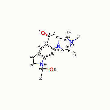 CC(=O)c1cc2c(cc1N1C[C@@H](C)N(C)[C@@H](C)C1)N(C(C)=O)CC2